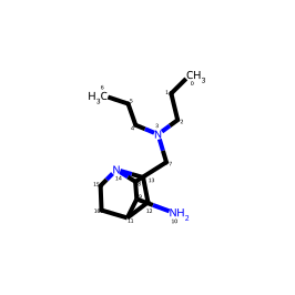 CCCN(CCC)CC1C(N)C2CCN1CC2